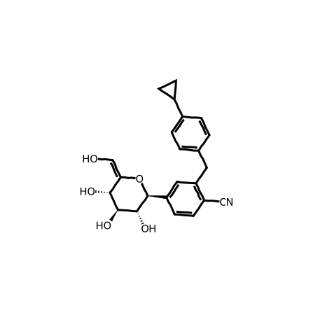 N#Cc1ccc([C@@H]2O/C(=C/O)[C@@H](O)[C@H](O)[C@H]2O)cc1Cc1ccc(C2CC2)cc1